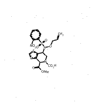 C=CCON(C1CN(C(=O)O)C(C(=O)OC)c2ncsc21)S(=O)(=O)c1ccccc1[N+](=O)[O-]